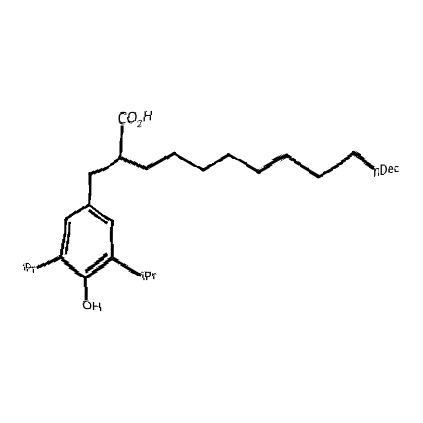 CCCCCCCCCCCCCCCCCCC(Cc1cc(C(C)C)c(O)c(C(C)C)c1)C(=O)O